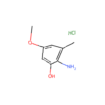 COc1cc(C)c(N)c(O)c1.Cl